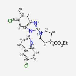 CCOC(=O)C1CCN(c2nc3cc(C)c(Cl)cc3n2-c2ccc3cc(Cl)ccc3n2)CC1